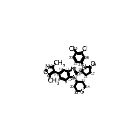 Cc1noc(C)c1-c1ccc2c(c1)nc([C@@H]1CCC(=O)N1c1ccc(Cl)c(Cl)c1)n2C1CCSCC1